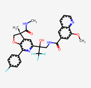 CNC(=O)[C@@]1(C)COc2c1cc(C(O)(CNC(=O)c1cc(OC)c3ncccc3c1)C(F)(F)F)nc2-c1ccc(F)cc1